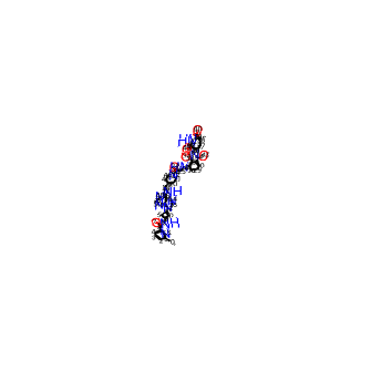 Cc1cccc(C(=O)NC2CC(n3cnc4c(NCC5CCN(C(=O)CNc6cccc7c6C(=O)N([C@H]6CCC(=O)NC6=O)C7=O)CC5)ncnc43)C2)n1